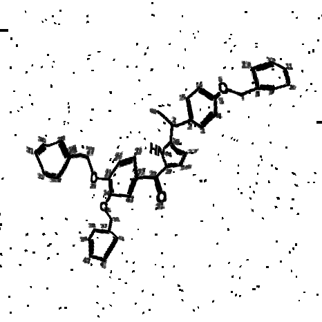 CC(c1ccc(OCc2ccccc2)cc1)c1ccc(C(=O)c2ccc(OCc3ccccc3)c(OCc3ccccc3)c2)[nH]1